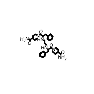 NC(=O)C1=CCN(C(=O)C(Cc2ccccc2)NCCCNC(Cc2ccccc2)C(=O)N2C=CC(C(N)=O)=CC2)C=C1